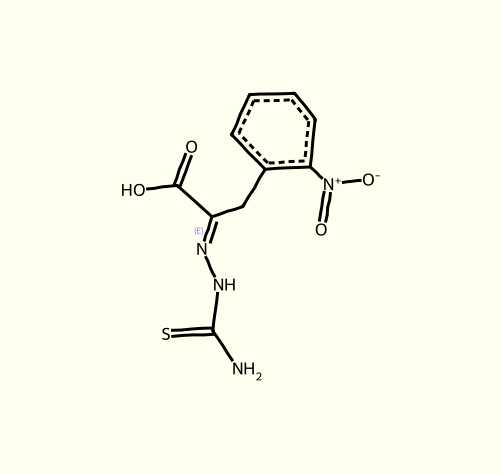 NC(=S)N/N=C(\Cc1ccccc1[N+](=O)[O-])C(=O)O